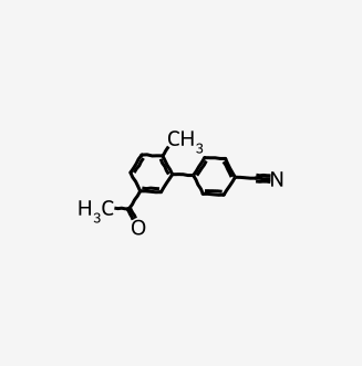 CC(=O)c1ccc(C)c(-c2ccc(C#N)cc2)c1